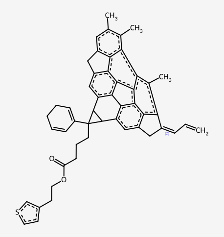 C=C/C=C1/Cc2cc3c4c5c2c1c(C)c1c2c(C)c(C)cc6c2c2c(cc(c-4c2c51)C1C3C1(CCCC(=O)OCCc1ccsc1)C1=CCCC=C1)C6